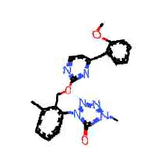 COc1ccccc1-c1ccnc(OCc2c(C)cccc2-n2nnn(C)c2=O)n1